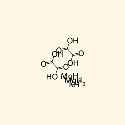 O=C(O)C(=O)O.O=C(O)C(=O)O.[KH].[MgH2].[MgH2]